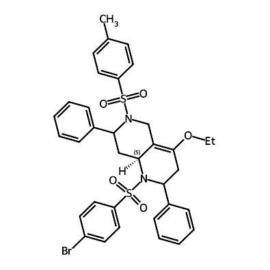 CCOC1=C2CN(S(=O)(=O)c3ccc(C)cc3)C(c3ccccc3)C[C@@H]2N(S(=O)(=O)c2ccc(Br)cc2)C(c2ccccc2)C1